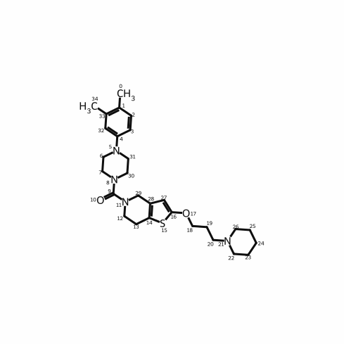 Cc1ccc(N2CCN(C(=O)N3CCc4sc(OCCCN5CCCCC5)cc4C3)CC2)cc1C